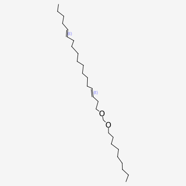 CCCC/C=C/CCCCCCCC/C=C/CCOCOCCCCCCCCC